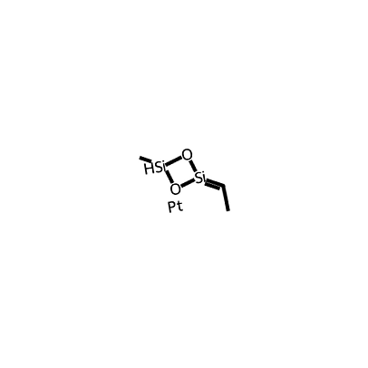 CC=[Si]1O[SiH](C)O1.[Pt]